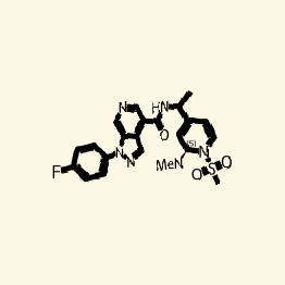 CN[C@@H]1C=C(C(C)NC(=O)c2cncc3c2cnn3-c2ccc(F)cc2)C=CN1S(C)(=O)=O